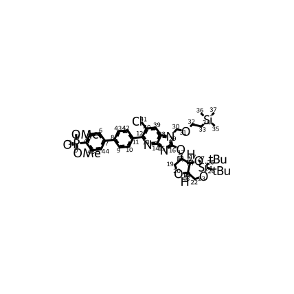 COP(=O)(OC)c1ccc(-c2ccc(-c3nc4nc(O[C@@H]5CO[C@H]6CO[Si](C(C)(C)C)(C(C)(C)C)O[C@@H]65)n(COCC[Si](C)(C)C)c4cc3Cl)cc2)cc1